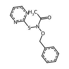 CC(=O)N(OCc1ccccc1)Sc1ncccn1